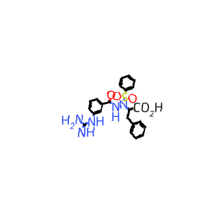 N=C(N)Nc1cccc(C(=O)NN(C(Cc2ccccc2)C(=O)O)S(=O)(=O)c2ccccc2)c1